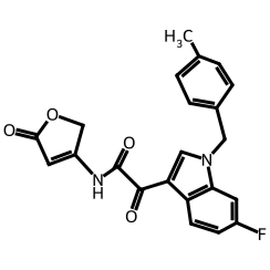 Cc1ccc(Cn2cc(C(=O)C(=O)NC3=CC(=O)OC3)c3ccc(F)cc32)cc1